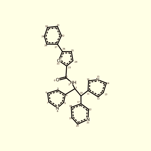 O=C(NC(c1cccnc1)C(c1cccnc1)c1cccnc1)c1ccc(-c2ccccc2)o1